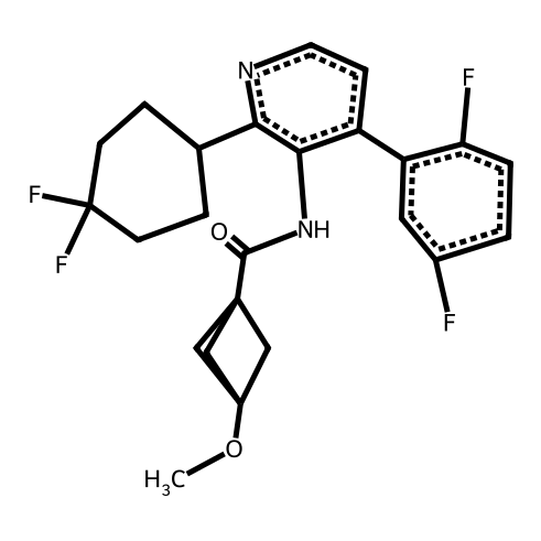 COC12CC(C(=O)Nc3c(-c4cc(F)ccc4F)ccnc3C3CCC(F)(F)CC3)(C1)C2